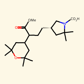 COC(=O)C(CC[C@@H]1CN(C(=O)O)C(C)(C)C1)C1CC(C)(C)OC(C)(C)C1